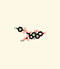 CCCOC(=O)O[C@]1(C(=O)COS(=O)(=O)c2ccc(Cl)cc2)CC[C@H]2[C@@H]3CCC4=CC(=O)C=C[C@]4(C)[C@@]3(Cl)C(O)C[C@@]21C